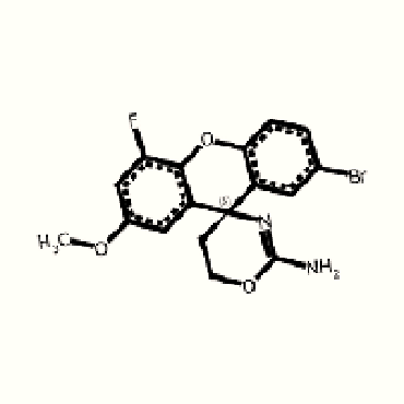 COc1cc(F)c2c(c1)[C@]1(CCOC(N)=N1)c1cc(Br)ccc1O2